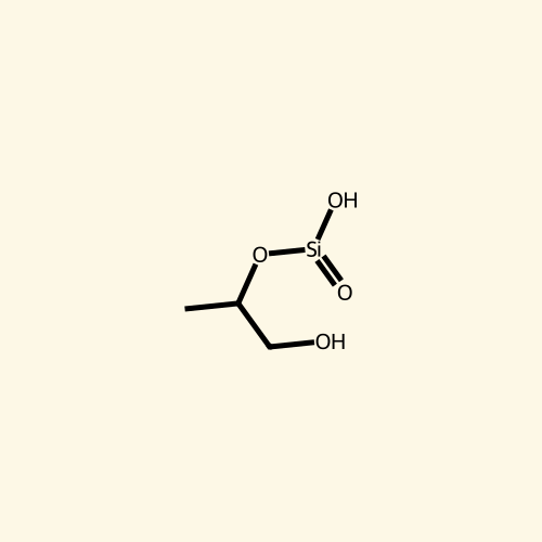 CC(CO)O[Si](=O)O